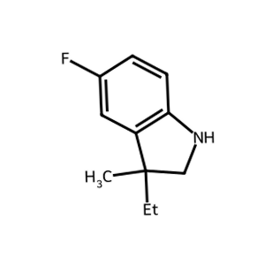 CCC1(C)CNc2ccc(F)cc21